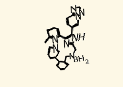 BN(Cc1nc(-c2cccc(C)n2)c(-c2ccc3ncnn3c2)[nH]1)Cc1ccccc1-c1cccnc1